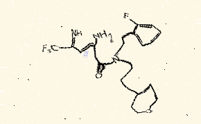 N=C(/C=C(\N)C(=O)N(CCC1CCOCC1)Cc1ccccc1F)C(F)(F)F